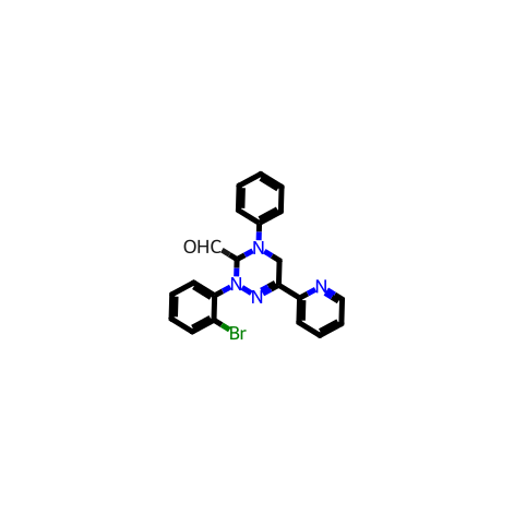 O=CC1N(c2ccccc2)CC(c2ccccn2)=NN1c1ccccc1Br